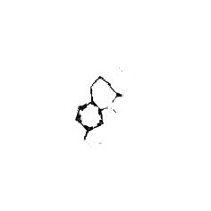 COc1ccc2c(c1)N(C)C(=O)[C@@H](N)CC2